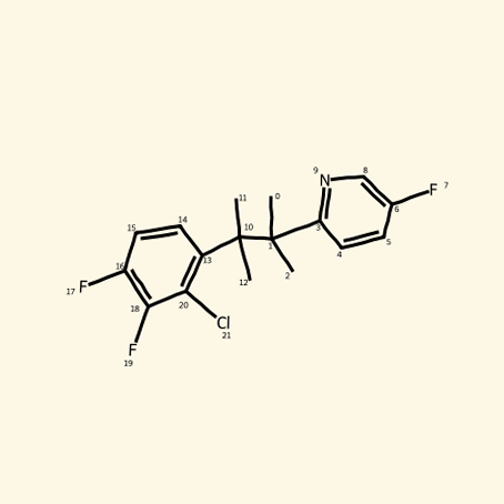 CC(C)(c1ccc(F)cn1)C(C)(C)c1ccc(F)c(F)c1Cl